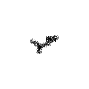 c1ccc(-c2ccc(-c3nc(-c4ccccc4)nc(-c4ccc(-c5cccc(-c6nnnc7c6sc6nc8ccccc8cc67)c5)cc4)n3)cc2)cc1